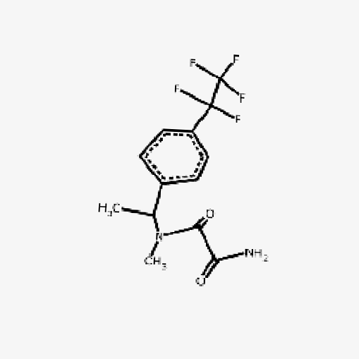 CC(c1ccc(C(F)(F)C(F)(F)F)cc1)N(C)C(=O)C(N)=O